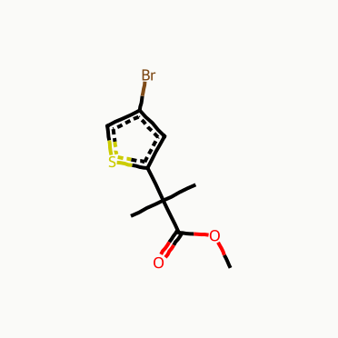 COC(=O)C(C)(C)c1cc(Br)cs1